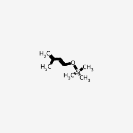 C=C(C)C=CO[Si](C)(C)C